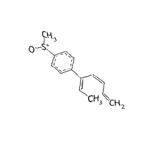 C=C/C=C\C(=C/C)c1ccc([S+](C)[O-])cc1